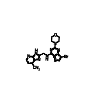 Cc1ccnc2[nH]c(CNc3nc(N4CCOCC4)nc4c(Br)cnn34)nc12